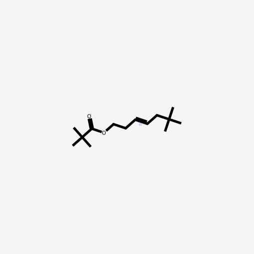 CC(C)(C)C/C=C/CCOC(=O)C(C)(C)C